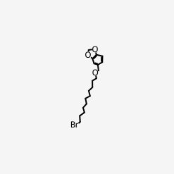 BrCCCCCCCCCCCOCc1ccc2c(c1)OCO2